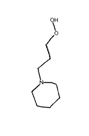 OOCCCN1CCCCC1